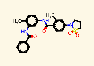 Cc1ccc(NC(=O)c2ccc(N3CCCS3(=O)=O)cc2C)cc1NC(=O)c1ccccc1